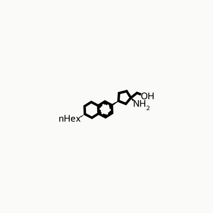 CCCCCC[C@@H]1CCc2cc([C@H]3CC[C@](N)(CO)C3)ccc2C1